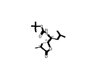 CC(C)C[C@H](NC(=O)OC(C)(C)C)[C@H]1C[C@H](C)C(=O)O1